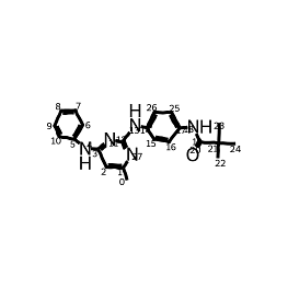 Cc1cc(Nc2ccccc2)nc(Nc2ccc(NC(=O)C(C)(C)C)cc2)n1